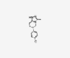 CC1=NNC2=CCC(c3ccc(Cl)cc3)CN21